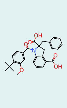 COc1cc(C(=O)N2c3cccc(C(=O)O)c3CC2(Cc2ccccc2)C(=O)O)ccc1C(C)(C)C